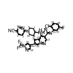 N#Cc1ccc(N2CCC(Nc3c(/C(N)=N/c4cc(F)ccc4Cl)cnn4cc(-c5cnn(C(F)F)c5)cc34)CC2)nn1